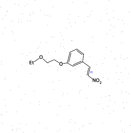 CCOCCOc1cccc(/C=C/[N+](=O)[O-])c1